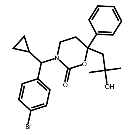 CC(C)(O)CC1(c2ccccc2)CCN(C(c2ccc(Br)cc2)C2CC2)C(=O)O1